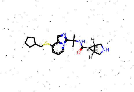 CC(C)(NC(=O)[C@H]1[C@@H]2CNC[C@@H]21)c1ncc2c(SCC3CCCC3)cccn12